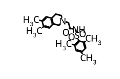 Cc1cc(C)c(S(=O)(=O)NC(=O)CN2CCc3cc(C)c(C)cc3C2)c(C)c1